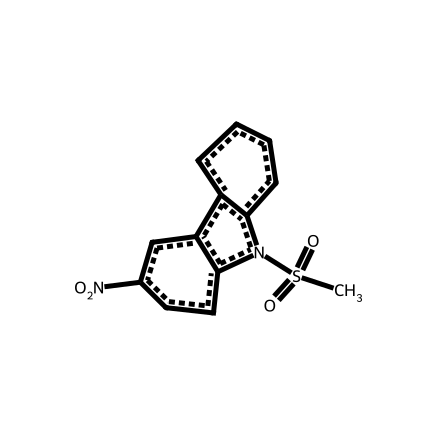 CS(=O)(=O)n1c2ccccc2c2cc([N+](=O)[O-])ccc21